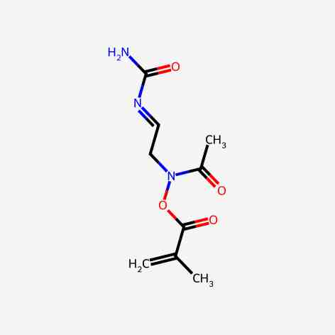 C=C(C)C(=O)ON(CC=NC(N)=O)C(C)=O